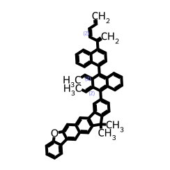 C=C/C=C\C(=C)c1ccc(-c2c(=C/C)/c(=C\C)c(-c3ccc4c(c3)-c3cc5cc6oc7ccccc7c6cc5cc3C4(C)C)c3ccccc23)c2ccccc12